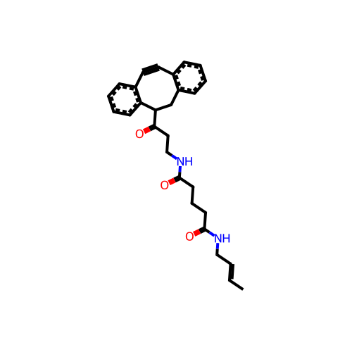 C/C=C/CNC(=O)CCCC(=O)NCCC(=O)C1Cc2ccccc2C#Cc2ccccc21